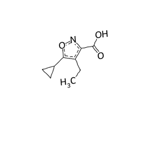 CCc1c(C(=O)O)noc1C1CC1